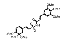 COC1=CC=C(C=CS(=O)(=O)NC(=O)C=Cc2cc(OC)c(OC)c(OC)c2)CC1(OC)OC